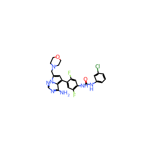 Nc1ncnn2c(CN3CCOCC3)cc(-c3cc(F)c(NC(=O)Nc4cccc(Cl)c4)cc3F)c12